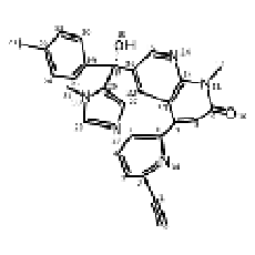 C#Cc1cccc(-c2cc(=O)n(C)c3ncc([C@](O)(c4ccc(I)cc4)c4cncn4C)cc23)n1